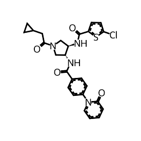 O=C(N[C@@H]1CN(C(=O)CC2CC2)C[C@H]1NC(=O)c1ccc(Cl)s1)c1ccc(-n2ccccc2=O)cc1